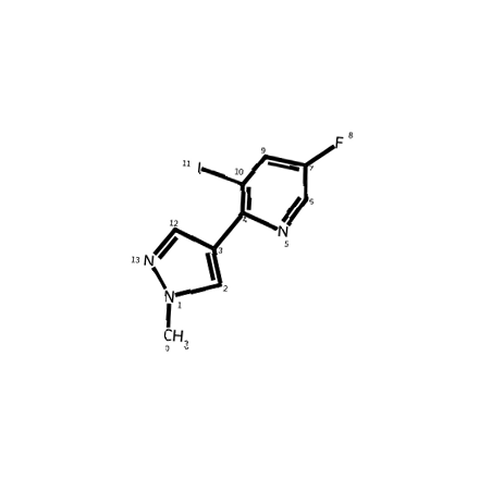 Cn1cc(-c2ncc(F)cc2I)cn1